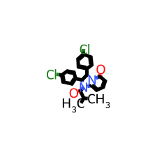 CC(C)C(=O)N1c2cccc(=O)n2C(c2ccc(Cl)cc2)C1c1ccc(Cl)cc1